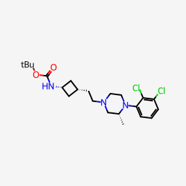 C[C@@H]1CN(CC[C@H]2C[C@@H](NC(=O)OC(C)(C)C)C2)CCN1c1cccc(Cl)c1Cl